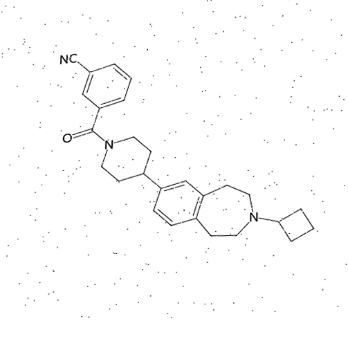 N#Cc1cccc(C(=O)N2CCC(c3ccc4c(c3)CCN(C3CCC3)CC4)CC2)c1